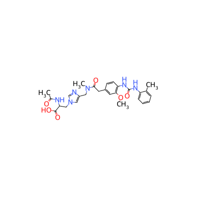 COc1cc(CC(=O)N(C)Cc2cn(CC(NC(C)=O)C(=O)O)cn2)ccc1NC(=O)Nc1ccccc1C